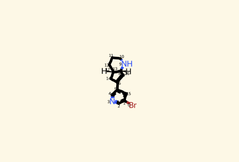 Brc1cncc(C2=C[C@H]3NCCC[C@H]3C2)c1